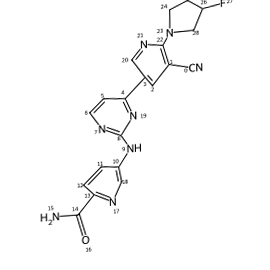 N#Cc1cc(-c2ccnc(Nc3ccc(C(N)=O)nc3)n2)cnc1N1CCC(F)C1